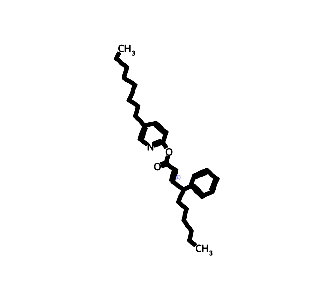 CCCCCCCCc1ccc(OC(=O)/C=C/C(CCCCCC)c2ccccc2)nc1